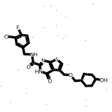 O=C(NCc1ccc(F)c(Cl)c1)c1nc2scc(COCC3CCC(O)CC3)c2c(=O)[nH]1